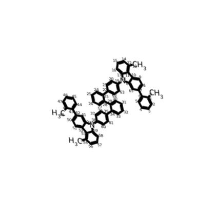 Cc1ccccc1-c1ccc2c3c(C)cccc3n(-c3ccc(-c4ccccc4-c4ccccc4-c4ccc(-n5c6cc(-c7ccccc7C)ccc6c6c(C)cccc65)cc4)cc3)c2c1